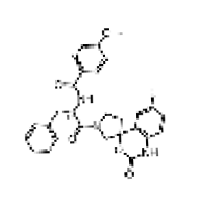 COc1ccc(C(=O)N[C@@H](Cc2ccccc2)C(=O)N2CCC3(C2)OC(=O)Nc2ccc(Cl)cc23)nc1